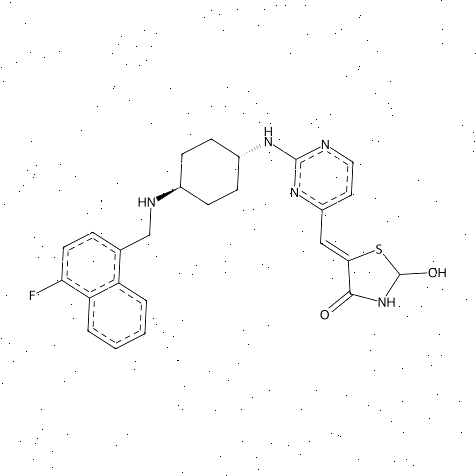 O=C1NC(O)S/C1=C\c1ccnc(N[C@H]2CC[C@H](NCc3ccc(F)c4ccccc34)CC2)n1